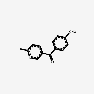 O=Cc1ccc(C(=O)c2ccc(Cl)nc2)cc1